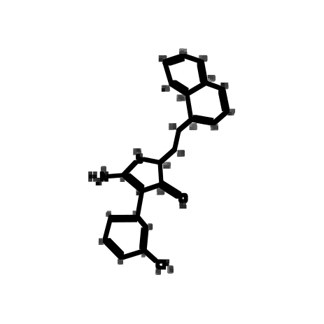 NC1=C(c2cccc(C(F)(F)F)c2)C(=O)C(CCc2cccc3ccccc23)S1